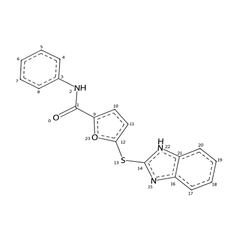 O=C(Nc1ccccc1)c1ccc(Sc2nc3ccccc3[nH]2)o1